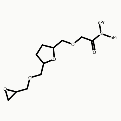 CCCN(CCC)C(=O)COCC1CCC(COCC2CO2)O1